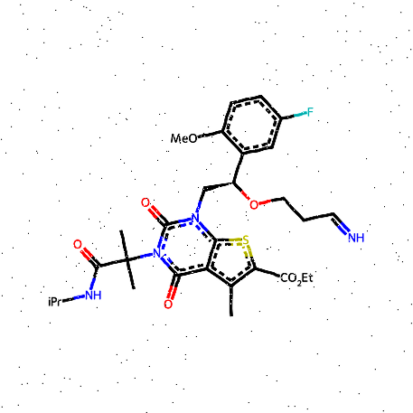 CCOC(=O)c1sc2c(c1C)c(=O)n(C(C)(C)C(=O)NC(C)C)c(=O)n2C[C@H](OCCC=N)c1cc(F)ccc1OC